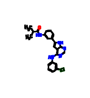 CC(C)C(=O)Nc1cccc(-c2cc3c(Nc4cccc(Cl)c4)ncnc3[nH]2)c1